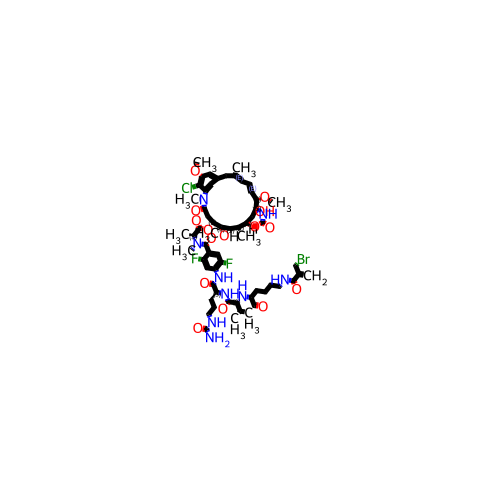 C=C(CBr)C(=O)NCCCCC(C=O)N[C@H](C(=O)N[C@@H](CCCNC(N)=O)C(=O)Nc1cc(F)c(C(=O)N(C)[C@@H](C)C(=O)O[C@H]2CC(=O)N(C)c3cc(cc(OC)c3Cl)C/C(C)=C/C=C/[C@@H](OC)[C@@]3(O)C[C@H](OC(=O)N3)[C@@H](C)[C@@H]3O[C@@]23C)cc1F)C(C)C